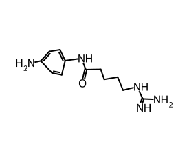 N=C(N)NCCCCC(=O)Nc1ccc(N)cc1